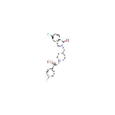 O=C1c2ccc(F)cc2CN1CC1CCN(C[C@H](O)c2ccc(F)cc2)CC1